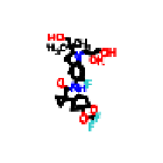 CC(C)(CO)c1cc2cc(NC(=O)C3(c4ccc5c(c4)OC(F)(F)O5)CC3)c(F)cc2n1/C=C(\O)CO